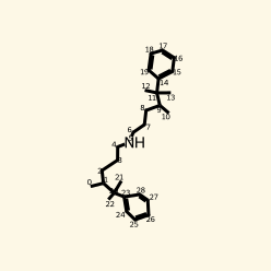 CC(CCCNCCCC(C)C(C)(C)c1ccccc1)C(C)(C)c1ccccc1